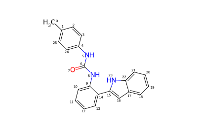 Cc1ccc(NC(=O)Nc2ccccc2-c2cc3ccccc3[nH]2)cc1